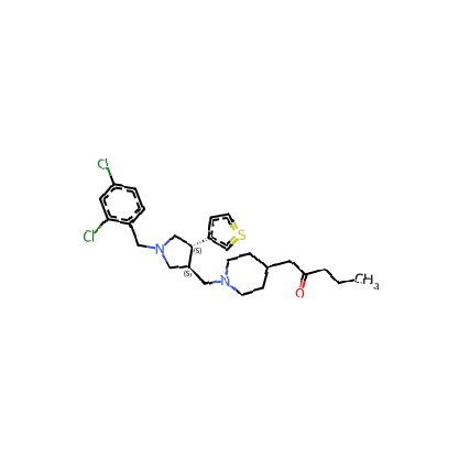 CCCC(=O)CC1CCN(C[C@H]2CN(Cc3ccc(Cl)cc3Cl)C[C@@H]2c2ccsc2)CC1